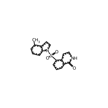 Cc1cccc2c1ccn2S(=O)(=O)c1cccc2c(=O)[nH]ccc12